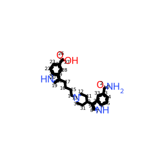 NC(=O)c1ccc2[nH]cc(C3CCN(CCCCc4c[nH]c5ccc(C(=O)O)cc45)CC3)c2c1